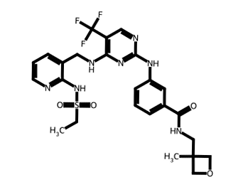 CCS(=O)(=O)Nc1ncccc1CNc1nc(Nc2cccc(C(=O)NCC3(C)COC3)c2)ncc1C(F)(F)F